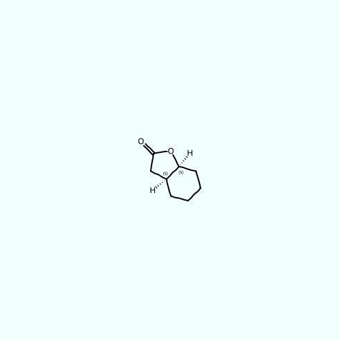 O=C1C[C@@H]2CCCC[C@@H]2O1